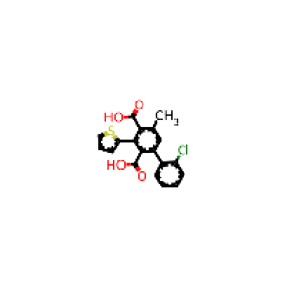 Cc1cc(-c2ccccc2Cl)c(C(=O)O)c(-c2cccs2)c1C(=O)O